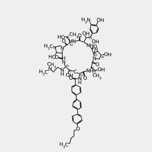 CCCCCOc1ccc(-c2ccc(-c3ccc(C(=O)N[C@H]4C[C@@H](O)[C@@H](NCCN(C)C)NC(=O)C5C(O)[C@@H](C)CN5C(=O)[C@H]([C@@H](C)O)NC(=O)C(C(O)[C@@H](O)c5ccc(O)c(N)c5)NC(=O)[C@@H]5C[C@@H](O)CN5C(=O)[C@H]([C@@H](C)O)NC4=O)cc3)cc2)cc1